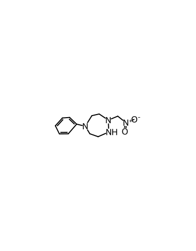 O=[N+]([O-])CN1CCN(c2ccccc2)CCN1